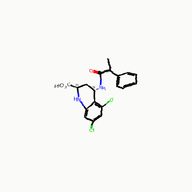 CC(C(=O)N[C@H]1C[C@H](C(=O)O)Nc2cc(Cl)cc(Cl)c21)c1ccccc1